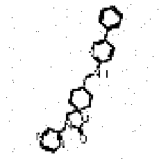 O=C1O[C@]2(CC[C@H](CNc3ccc(-c4ccccc4)cn3)CC2)CN1c1cnccn1